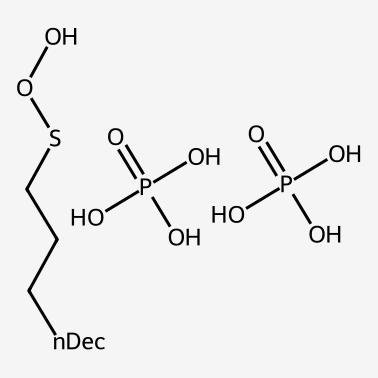 CCCCCCCCCCCCCSOO.O=P(O)(O)O.O=P(O)(O)O